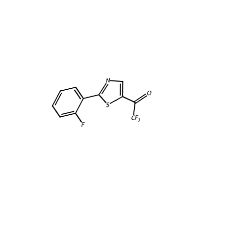 O=C(c1cnc(-c2ccccc2F)s1)C(F)(F)F